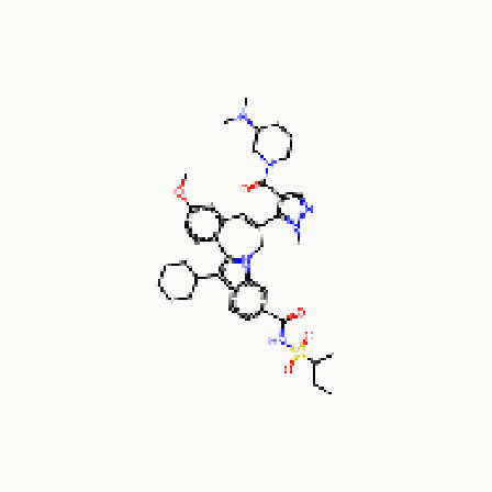 CCC(C)S(=O)(=O)NC(=O)c1ccc2c(C3CCCCC3)c3n(c2c1)CC(c1c(C(=O)N2CCCC(N(C)C)C2)cnn1C)=Cc1cc(OC)ccc1-3